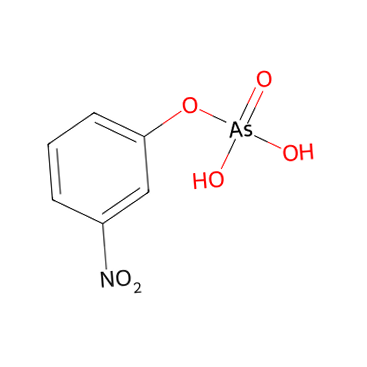 O=[N+]([O-])c1cccc(O[As](=O)(O)O)c1